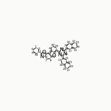 c1ccc(-c2nc3ccc4oc5c(-c6nc(-c7ccc8ccccc8c7)nc(-c7ccc8ccccc8c7)n6)cccc5c4c3o2)cc1